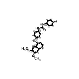 COc1cc2nccc(Nc3ccc(NC(=O)Nc4ccc(F)cc4)cc3)c2cc1OC